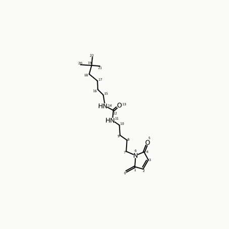 C=C1C=CC(=O)N1CCCCNC(=O)NCCCCC(C)(C)C